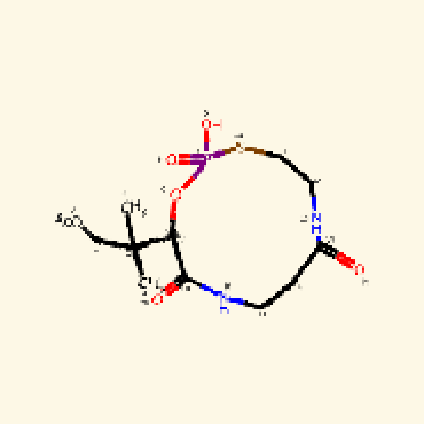 CC(=O)OCC(C)(C)[C@H]1OP(=O)(O)SCCNC(=O)CCNC1=O